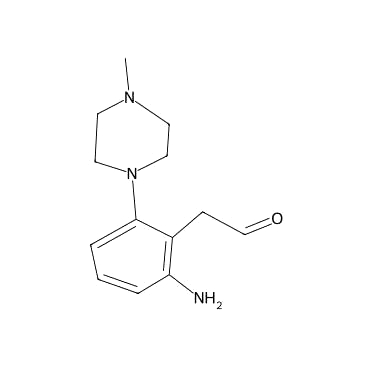 CN1CCN(c2cccc(N)c2CC=O)CC1